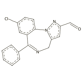 O=Cc1cc2n(n1)-c1ccc(Cl)cc1C(c1ccccc1)=NC2